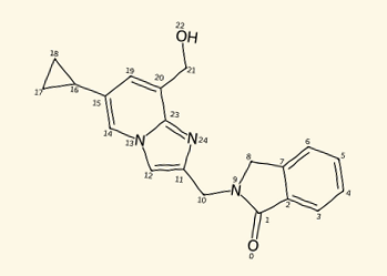 O=C1c2ccccc2CN1Cc1cn2cc(C3CC3)cc(CO)c2n1